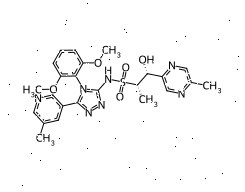 COc1cccc(OC)c1-n1c(NS(=O)(=O)[C@@H](C)[C@H](O)c2cnc(C)cn2)nnc1-c1cncc(C)c1